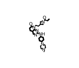 C=CC(=O)N1CC(CCn2c(=O)ccc3cnc(Nc4ccc(N5CCN(C)CC5)cc4)nc32)C1